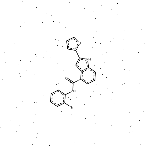 O=C(Nc1ccccc1Br)c1cccc2[nH]c(-c3ccco3)nc12